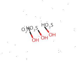 O=S(=O)(O)O.O=S(=O)(O)O.O=[N+]([O-])O